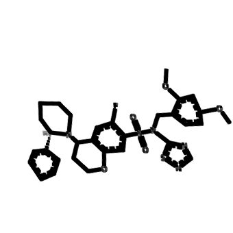 COc1ccc(CN(c2ncns2)S(=O)(=O)c2cc3c(cc2F)C(N2CCCC[C@H]2c2ccccc2)CCO3)c(OC)c1